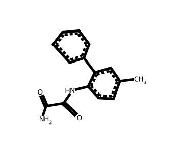 Cc1ccc(NC(=O)C(N)=O)c(-c2ccccc2)c1